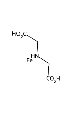 O=C(O)CNCC(=O)O.[Fe]